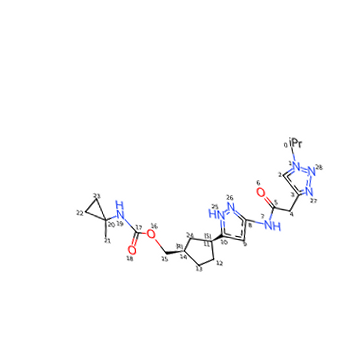 CC(C)n1cc(CC(=O)Nc2cc([C@H]3CC[C@@H](COC(=O)NC4(C)CC4)C3)[nH]n2)nn1